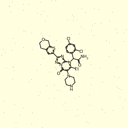 CCc1c(N2CCNCC2)c(=O)n2nc(-c3cc4c(s3)COCC4)nc2n1C(C(N)=O)c1ccc(Cl)cc1Cl